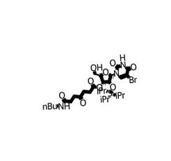 CCCCNC(=O)CCC(=O)CCC(=O)O[C@@H]1C(O[Si](C(C)C)(C(C)C)C(C)C)[C@H](n2cc(Br)c(=O)[nH]c2=O)O[C@@H]1CO